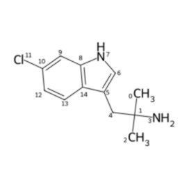 CC(C)(N)Cc1c[nH]c2cc(Cl)ccc12